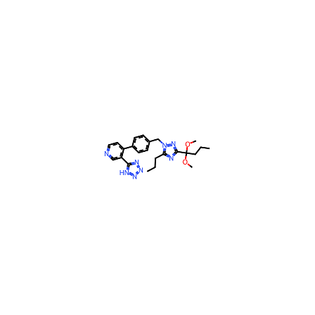 CCCc1nc(C(CCC)(OC)OC)nn1Cc1ccc(-c2ccncc2-c2nnn[nH]2)cc1